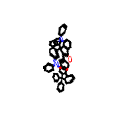 c1ccc(N(c2ccc3c(c2)C(c2ccccc2)(c2ccccc2)c2ccccc2-3)c2ccc3c(c2)C2(c4ccccc4-3)c3c(cccc3N(c3ccccc3)c3ccccc3)-c3oc4ccccc4c32)cc1